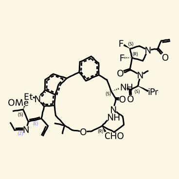 C=CC(=O)N1C[C@H](F)[C@](F)(C(=O)N(C)[C@H](C(=O)N[C@H]2Cc3cccc(c3)-c3ccc4c(c3)c(c(/C(C=C)=C(/N=C\C)[C@H](C)OC)n4CC)CC(C)(C)COC[C@@]3(C=O)CCCN(N3)C2=O)C(C)C)C1